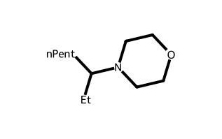 CCCCCC(CC)N1CCOCC1